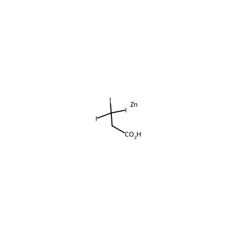 O=C(O)CC(I)(I)I.[Zn]